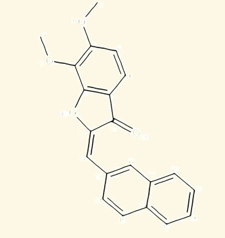 COc1ccc2c(c1OC)OC(=Cc1ccc3ccccc3c1)C2=O